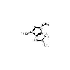 CCCCCCN1C=CN(C)C1.N=S(C(F)(F)F)C(F)(F)F